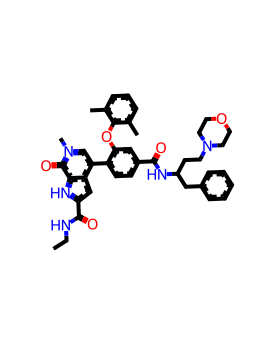 CCNC(=O)c1cc2c(-c3ccc(C(=O)NC(CCN4CCOCC4)Cc4ccccc4)cc3Oc3c(C)cccc3C)cn(C)c(=O)c2[nH]1